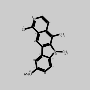 CCc1nccc2c(C)c3c(cc12)c1cc(OC)ccc1n3C